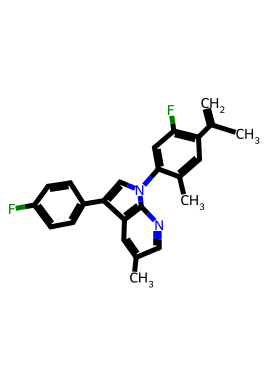 C=C(C)c1cc(C)c(-n2cc(-c3ccc(F)cc3)c3cc(C)cnc32)cc1F